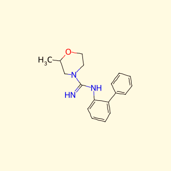 CC1CN(C(=N)Nc2ccccc2-c2ccccc2)CCO1